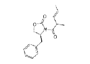 C/C=C/C(C)C(=O)N1C(=O)OC[C@@H]1Cc1ccccc1